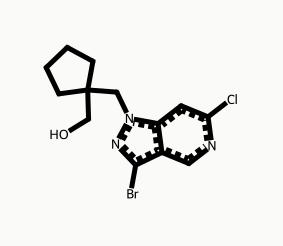 OCC1(Cn2nc(Br)c3cnc(Cl)cc32)CCCC1